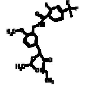 CCOC(=O)C(Cc1ccc(OC)c(CNC(=O)c2ccc(C(F)(F)F)cc2F)c1)OC(C)C